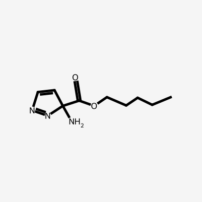 CCCCCOC(=O)C1(N)C=CN=N1